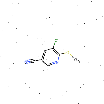 CSc1ncc(C#N)cc1Cl